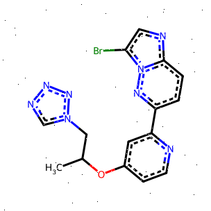 CC(Cn1cnnn1)Oc1ccnc(-c2ccc3ncc(Br)n3n2)c1